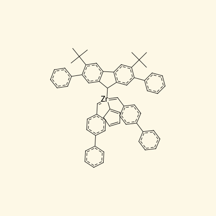 CC(C)(C)c1cc2c(cc1-c1ccccc1)[CH]([Zr](=[CH]c1ccc(-c3ccccc3)cc1)(=[CH]c1ccc(-c3ccccc3)cc1)[C]1=CC=CC1)c1cc(-c3ccccc3)c(C(C)(C)C)cc1-2